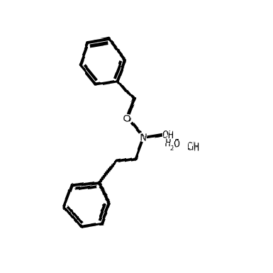 Cl.O.ON(CCc1ccccc1)OCc1ccccc1